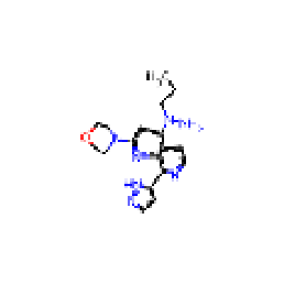 CCCN(N)c1cc(N2CCOCC2)nc2c(-c3ccn[nH]3)nccc12